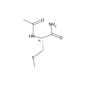 CSC[C@H](NC(C)=O)C(N)=O